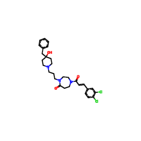 O=C(C=Cc1ccc(Cl)c(Cl)c1)N1CCC(=O)N(CCCN2CCC(O)(Cc3ccccc3)CC2)CC1